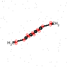 C=CC(=O)OCCCCCCOc1ccc(C(=O)OC2=CC=C(OC(=O)c3ccc(OC(=O)c4ccc(OCCCCCCOC(=O)C=C)cc4)cc3)CC2)cc1